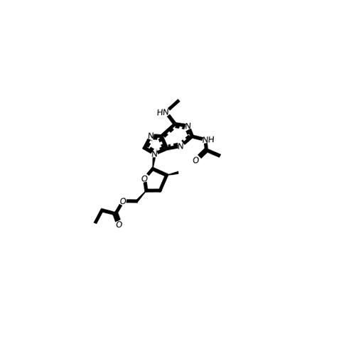 CCC(=O)OC[C@@H]1C[C@H](C)[C@H](n2cnc3c(NC)nc(NC(C)=O)nc32)O1